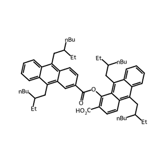 CCCCC(CC)Cc1c2ccccc2c(CC(CC)CCCC)c2cc(C(=O)Oc3c(C(=O)O)ccc4c(CC(CC)CCCC)c5ccccc5c(CC(CC)CCCC)c34)ccc12